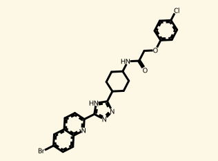 O=C(COc1ccc(Cl)cc1)NC1CCC(c2nnc(-c3ccc4cc(Br)ccc4n3)[nH]2)CC1